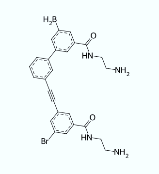 Bc1cc(C(=O)NCCN)cc(-c2cccc(C#Cc3cc(Br)cc(C(=O)NCCN)c3)c2)c1